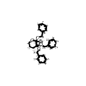 BrC1(OCc2ccccc2)OCCCC1(OCc1ccccc1)OCc1ccccc1